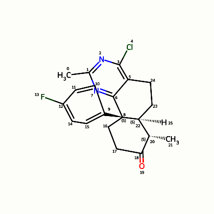 Cc1nc(Cl)c2c(n1)[C@@]1(c3ccc(F)cc3)CCC(=O)[C@@H](C)[C@@H]1CC2